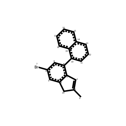 CC1=Cc2c(cc(Br)cc2-c2cccc3ccccc23)C1